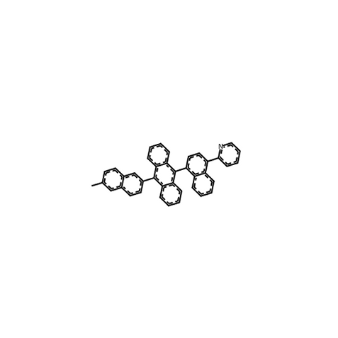 Cc1ccc2cc(-c3c4ccccc4c(-c4ccc(-c5ccccn5)c5ccccc45)c4ccccc34)ccc2c1